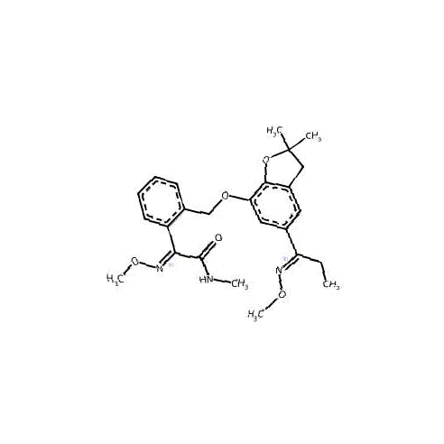 CC/C(=N\OC)c1cc2c(c(OCc3ccccc3/C(=N\OC)C(=O)NC)c1)OC(C)(C)C2